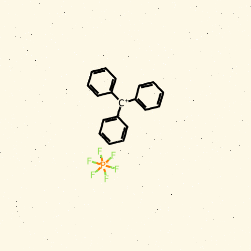 F[P-](F)(F)(F)(F)F.c1ccc([C+](c2ccccc2)c2ccccc2)cc1